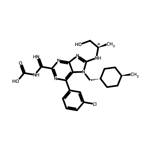 C[C@H](CO)Nc1nc2nc(C(=N)NC(=O)O)nc(-c3cccc(Cl)c3)c2n1C[C@H]1CC[C@H](C)CC1